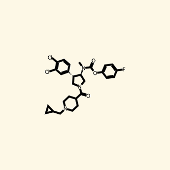 CN(C(=O)Oc1ccc(F)cc1)[C@H]1CN(C(=O)C2CCN(CC3CC3)CC2)C[C@@H]1c1ccc(Cl)c(Cl)c1